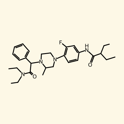 CCC(CC)C(=O)Nc1ccc(N2CCN(C(C(=O)N(CC)CC)c3ccccc3)C(C)C2)c(F)c1